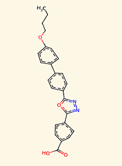 CCCCOc1ccc(-c2ccc(-c3nnc(-c4ccc(C(=O)O)cc4)o3)cc2)cc1